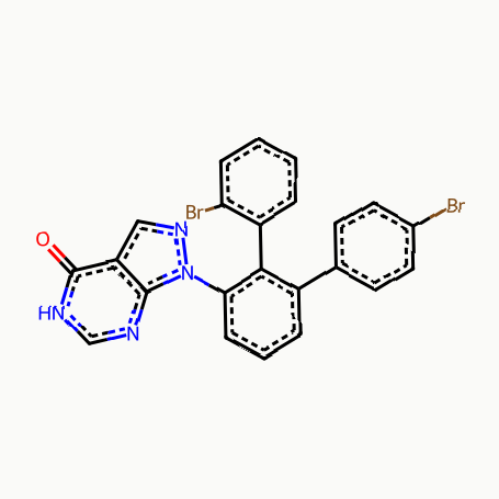 O=c1[nH]cnc2c1cnn2-c1cccc(-c2ccc(Br)cc2)c1-c1ccccc1Br